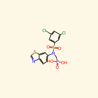 O=P(O)(O)CN(c1ccc2ncsc2c1)S(=O)(=O)c1cc(Cl)cc(Cl)c1